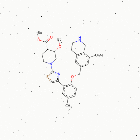 CCO[C@@H]1CN(c2nc(-c3cc(C)ccc3OCc3cc4c(c(OC)c3)CNCC4)cs2)CC[C@@H]1C(=O)OC(C)(C)C